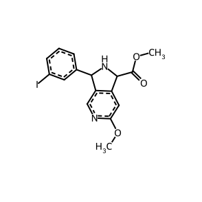 COC(=O)C1NC(c2cccc(I)c2)c2cnc(OC)cc21